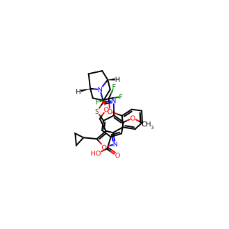 COc1cc(C(=O)O)cc2sc(N3[C@@H]4CC[C@H]3C[C@@H](OCc3c(-c5ccccc5OC(F)(F)F)noc3C3CC3)C4)nc12